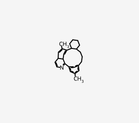 CC1=CC2C=CN=C3c4cc(C)cc(c4)CCCC4CCCCC4C1=CC32